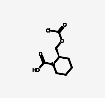 O=C(Cl)OC[C@H]1CCCCN1C(=O)O